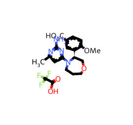 COc1ccc(C(=O)O)cc1[C@@H]1COCCCN1c1cc(C)nc(N)n1.O=C(O)C(F)(F)F